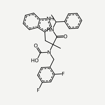 CC(NC(=O)C(C)(Cc1c[nH]c2ccccc12)N(Cc1ccc(F)cc1F)C(=O)O)c1ccccc1